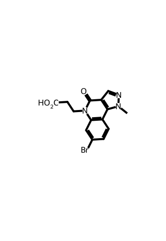 Cn1ncc2c(=O)n(CCC(=O)O)c3cc(Br)ccc3c21